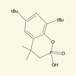 CC(C)(C)c1cc(C(C)(C)C)c2c(c1)C(C)(C)CP(=O)(O)O2